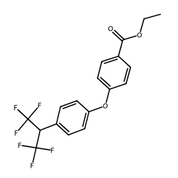 CCOC(=O)c1ccc(Oc2ccc(C(C(F)(F)F)C(F)(F)F)cc2)cc1